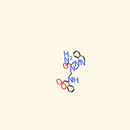 NC(=O)C1CN(c2nccc3ccccc23)CCN1CCCNc1cc(=O)oc2ccccc12